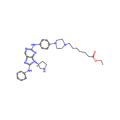 CCOC(=O)CCCCCCN1CCN(c2ccc(Nc3ncc4nc(Nc5ccccc5)n([C@H]5CCNC5)c4n3)cc2)CC1